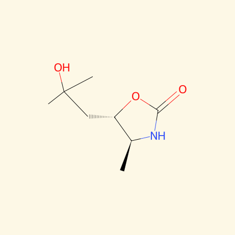 C[C@@H]1NC(=O)O[C@H]1CC(C)(C)O